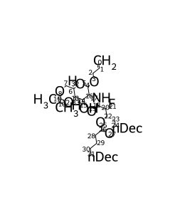 C=CCO[C@@H]1O[C@@H]2COC(C)(C)O[C@H]2[C@H](O)[C@H]1NC(=O)[C@H](F)[C@H](CCCCCCCCCCC)OC(=O)CCCCCCCCCCCCC